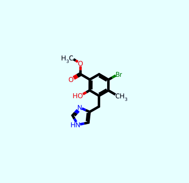 COC(=O)c1cc(Br)c(C)c(Cc2c[nH]cn2)c1O